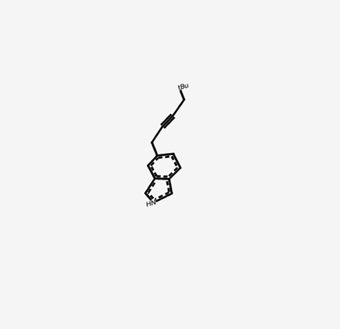 CC(C)(C)CC#CCc1ccc2c[nH]cc2c1